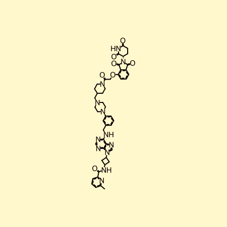 Cc1cccc(C(=O)NC2CC(n3cnc4c(NCc5cccc(N6CCN(CC7CCN(C(=O)COc8cccc9c8C(=O)N([C@H]8CCC(=O)NC8=O)C9=O)CC7)CC6)c5)ncnc43)C2)n1